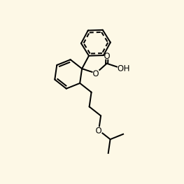 CC(C)OCCCC1C=CC=CC1(OC(=O)O)c1ccccc1